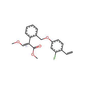 C=Cc1ccc(OCc2ccccc2/C(=C\OC)C(=O)OC)cc1F